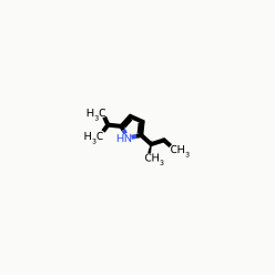 CC[C@@H](C)c1ccc(C(C)C)[nH]1